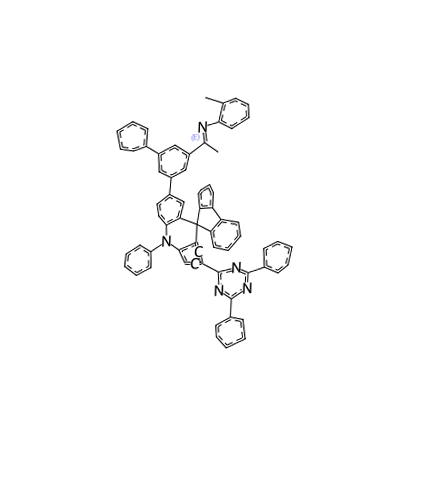 C/C(=N\c1ccccc1C)c1cc(-c2ccccc2)cc(-c2ccc3c(c2)C2(c4ccccc4-c4ccccc42)c2cc(-c4nc(-c5ccccc5)nc(-c5ccccc5)n4)ccc2N3c2ccccc2)c1